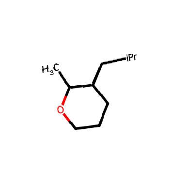 CC(C)CC1CCCOC1C